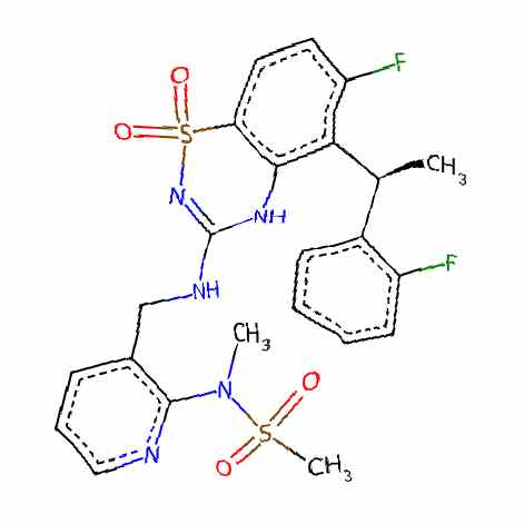 C[C@@H](c1ccccc1F)c1c(F)ccc2c1NC(NCc1cccnc1N(C)S(C)(=O)=O)=NS2(=O)=O